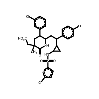 CC1(CC(=O)O)CC(c2cccc(Cl)c2)C(CC(c2ccc(Cl)cc2)C2CC2NS(=O)(=O)c2ccc(Cl)s2)NC1=O